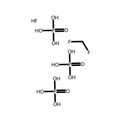 F.FCF.O=P(O)(O)O.O=P(O)(O)O.O=P(O)(O)O